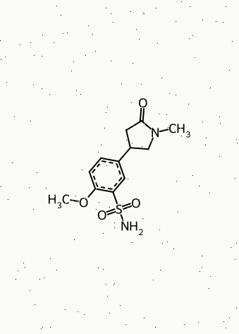 COc1ccc(C2CC(=O)N(C)C2)cc1S(N)(=O)=O